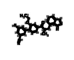 CCOc1cc(C(=O)N(C)Cc2cccc3cn[nH]c23)ccc1-c1cc(F)cc(C#N)c1